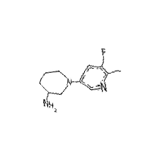 Cc1ncc(N2CCCC(N)C2)cc1F